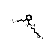 [CH2]CCCc1ccccc1C(=O)NCCCCC